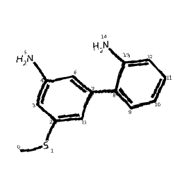 CSc1cc(N)cc(-c2ccccc2N)c1